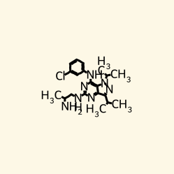 CC(N)CNc1nc(Nc2cccc(Cl)c2)c2c(n1)c(C(C)C)nn2C(C)C